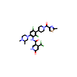 Cc1nc(C(=O)N2CC=C(c3c(F)cc(N4CCN(C)C(C)C4)c(NC(=O)c4c[nH]c(=O)cc4C(F)F)c3F)CC2)cs1